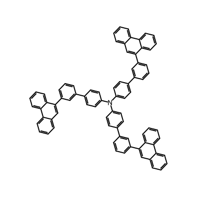 c1cc(-c2ccc(N(c3ccc(-c4cccc(-c5cc6ccccc6c6ccccc56)c4)cc3)c3ccc(-c4cccc(-c5cc6ccccc6c6ccccc56)c4)cc3)cc2)cc(-c2cc3ccccc3c3ccccc23)c1